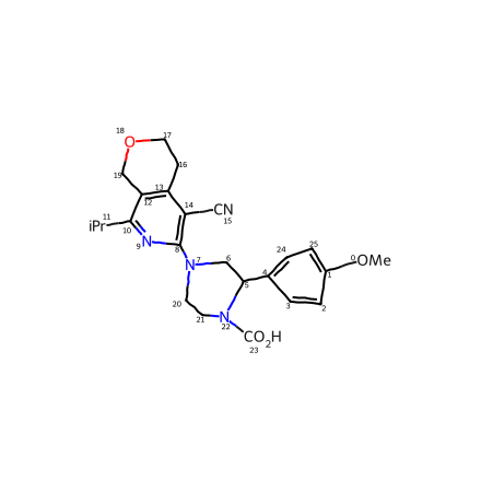 COc1ccc(C2CN(c3nc(C(C)C)c4c(c3C#N)CCOC4)CCN2C(=O)O)cc1